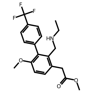 CCNCc1c(CC(=O)OC)ccc(OC)c1-c1ccc(C(F)(F)F)cc1